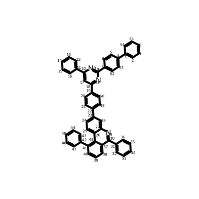 c1ccc(-c2ccc(-c3nc(-c4ccccc4)cc(-c4ccc(-c5ccc6c(c5)nc(-c5ccccc5)c5cccc(-c7ccccc7)c56)cc4)n3)cc2)cc1